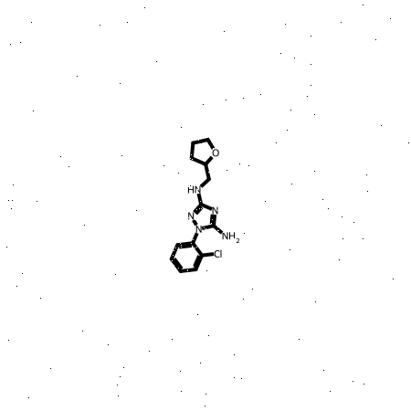 Nc1nc(NCC2CCCO2)nn1-c1ccccc1Cl